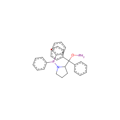 POC(c1ccccc1)(c1ccccc1)C1CCCN1P(c1ccccc1)c1ccccc1